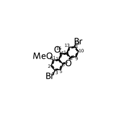 COc1cc(Br)cc2oc3ccc(Br)cc3c(=O)c12